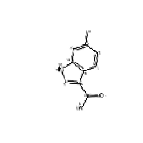 Cc1ccc2c(C(=O)C(C)C)c[nH]c2c1